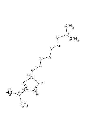 CC(C)CCCCCCCn1cc(C(C)C)nn1